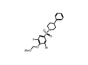 COCOc1c(F)cc(S(=O)(=O)N2CCC(c3ccccc3)CC2)cc1Br